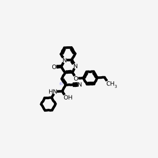 CCc1ccc(Oc2nc3ccccn3c(=O)c2/C=C(\C#N)C(O)NC2CCCCC2)cc1